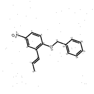 [CH2]C=Cc1cc([N+](=O)[O-])ccc1OCc1ccccc1